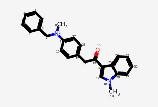 CN(Cc1ccccc1)c1ccc(CC(=O)c2cn(C)c3ccccc23)cc1